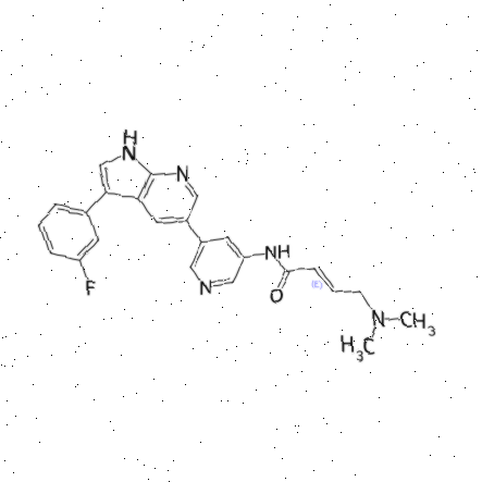 CN(C)C/C=C/C(=O)Nc1cncc(-c2cnc3[nH]cc(-c4cccc(F)c4)c3c2)c1